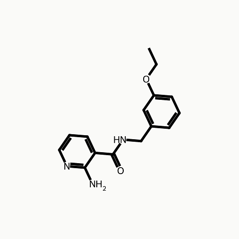 CCOc1cccc(CNC(=O)c2cccnc2N)c1